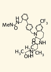 CNC(=O)NCc1ccccc1-c1ccc(CN2C(=O)[C@H](NC(=O)CC(C)(C)NC[C@@H](C)O)CCc3cc(C(F)(F)F)ccc32)cc1